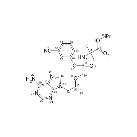 CC(C)OC(=O)C(C)(C)NP(=O)(CO[C@H](C)Cn1cnc2c(N)ncnc21)Oc1cccc(C#N)c1